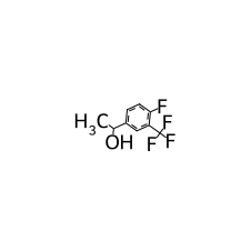 CC(O)c1ccc(F)c(C(F)(F)F)c1